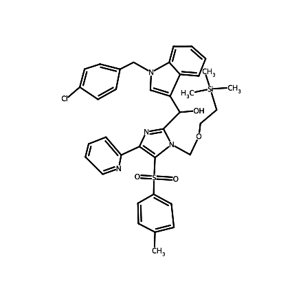 Cc1ccc(S(=O)(=O)c2c(-c3ccccn3)nc(C(O)c3cn(Cc4ccc(Cl)cc4)c4ccccc34)n2COCC[Si](C)(C)C)cc1